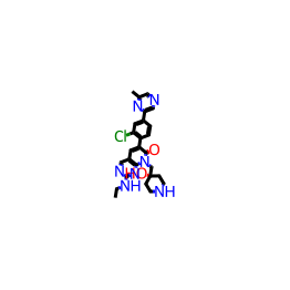 CCNc1ncc2cc(-c3ccc(-c4cncc(C)n4)cc3Cl)c(=O)n(CC3(O)CCNCC3)c2n1